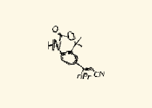 CCCC(=CC#N)c1ccc2c(c1)C(C)(C)OC(=O)N2